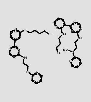 CN(CCNc1ncnc(-c2cccnc2NCCCO)n1)c1ccccn1.OCCCCOc1cc(-c2ncnc(NCCNc3ccccn3)n2)ccn1